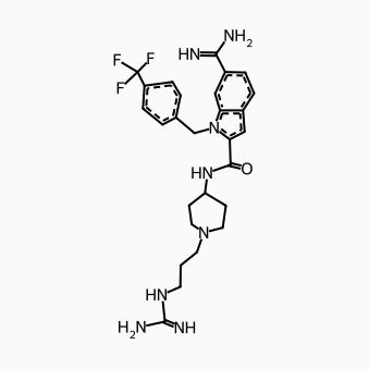 N=C(N)NCCCN1CCC(NC(=O)c2cc3ccc(C(=N)N)cc3n2Cc2ccc(C(F)(F)F)cc2)CC1